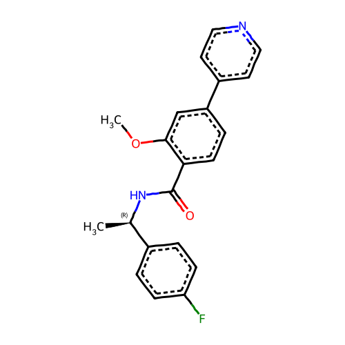 COc1cc(-c2ccncc2)ccc1C(=O)N[C@H](C)c1ccc(F)cc1